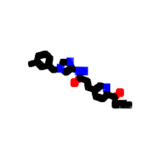 COC(=O)c1ccc(/C=C/C(=O)Nc2cn(Cc3cccc(C)c3)cn2)cn1